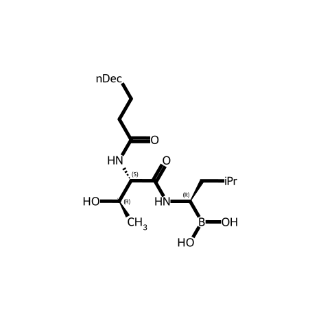 CCCCCCCCCCCCC(=O)N[C@H](C(=O)N[C@@H](CC(C)C)B(O)O)[C@@H](C)O